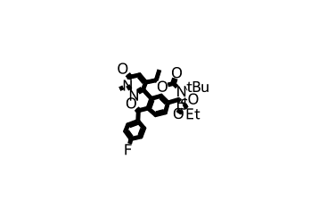 CCS(=O)(=O)Cc1ccc(C(=O)c2ccc(F)cc2)c(-c2nn(C)c(=O)cc2C(C)OC(=O)NC(C)(C)C)c1